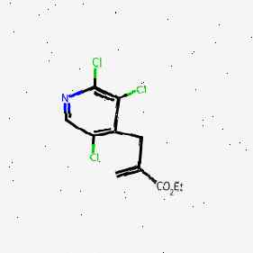 C=C(Cc1c(Cl)cnc(Cl)c1Cl)C(=O)OCC